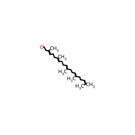 CC(C)=CCC/C(C)=C/CC/C(C)=C/CC/C=C(\C)CC/C=C(\C)CC=O